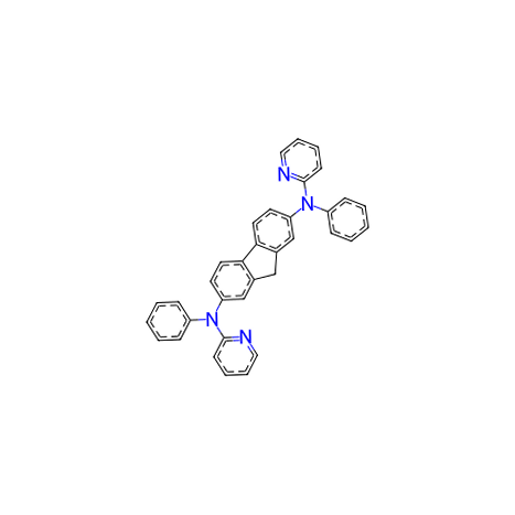 c1ccc(N(c2ccc3c(c2)Cc2cc(N(c4ccccc4)c4ccccn4)ccc2-3)c2ccccn2)cc1